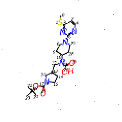 CSc1ccnc(N2CCC(N(C[C@H]3CCN(C(=O)OC(C)(C)C)C3)C(=O)O)CC2)n1